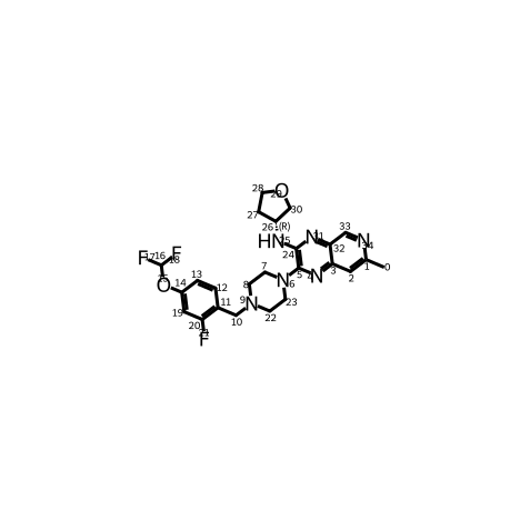 Cc1cc2nc(N3CCN(Cc4ccc(OC(F)F)cc4F)CC3)c(N[C@@H]3CCOC3)nc2cn1